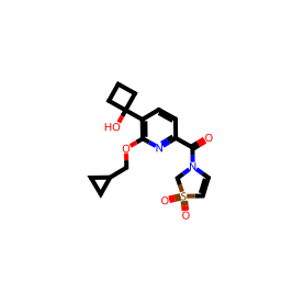 O=C(c1ccc(C2(O)CCC2)c(OCC2CC2)n1)N1C=CS(=O)(=O)C1